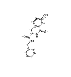 O=C(NCc1ccccc1)C(Cc1ccc(O)cc1)NC=S